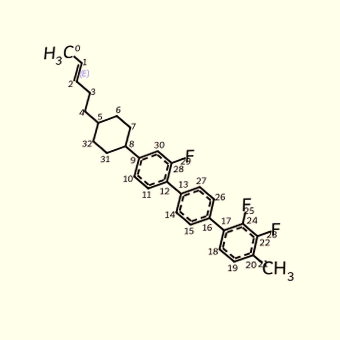 C/C=C/CCC1CCC(c2ccc(-c3ccc(-c4ccc(C)c(F)c4F)cc3)c(F)c2)CC1